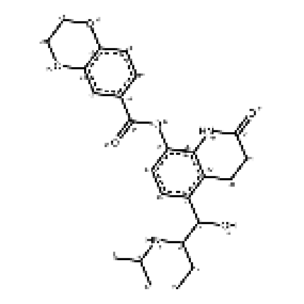 CCC(NC(C)C)C(O)c1ccc(OC(=O)c2ccc3c(c2)OCCO3)c2c1CCC(=O)N2